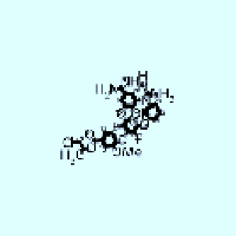 COc1cc(C(=O)OC(C)CCl)ccc1Oc1c(F)c(Oc2cccc(NC(=N)N)c2)nc(Oc2cc(C(=N)N)ccc2O)c1F